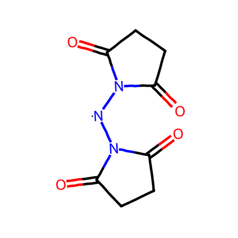 O=C1CCC(=O)N1[N]N1C(=O)CCC1=O